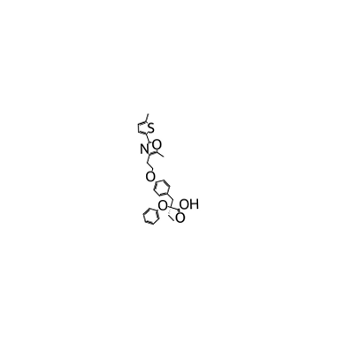 CC[C@@](Cc1ccc(OCCc2nc(-c3ccc(C)s3)oc2C)cc1)(Oc1ccccc1)C(=O)O